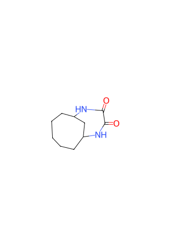 O=C1NC2CCCCCC(C2)NC1=O